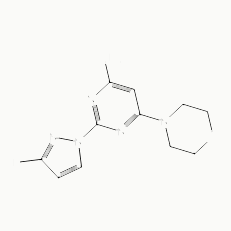 Cc1cc(N2CCOCC2)nc(-n2ccc(F)n2)n1